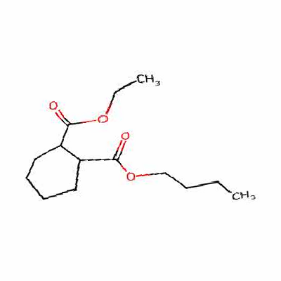 CCCCOC(=O)C1CCCCC1C(=O)OCC